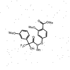 CCCN(Oc1ccc(C(=O)OC)c(OC)c1)C(=O)C(O)(c1cccc(OC)c1)C(F)(F)F